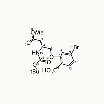 COC(=O)C[C@@H](COc1cc(Br)ccc1C(=O)O)NC(=O)OC(C)(C)C